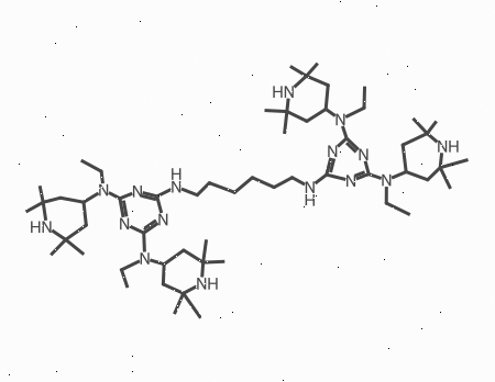 CCN(c1nc(NCCCCCCNc2nc(N(CC)C3CC(C)(C)NC(C)(C)C3)nc(N(CC)C3CC(C)(C)NC(C)(C)C3)n2)nc(N(CC)C2CC(C)(C)NC(C)(C)C2)n1)C1CC(C)(C)NC(C)(C)C1